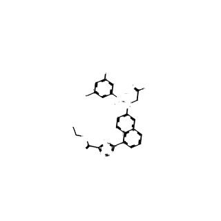 CCOC(=O)c1noc(-c2cccc3cc(N(CC(=O)O)S(=O)(=O)c4cc(Cl)cc(Cl)c4)ccc23)n1